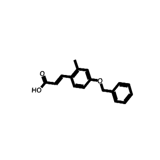 Cc1cc(OCc2ccccc2)ccc1C=CC(=O)O